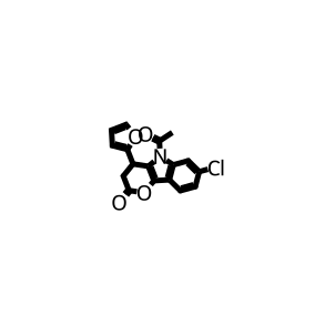 CC(=O)n1c2c(c3ccc(Cl)cc31)OC(=O)CC2c1ccco1